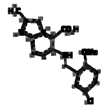 COc1ccc(Cl)cc1CNc1ccc2nc(C)cn2c1C(=O)O